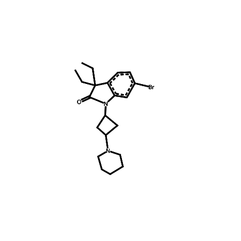 CCC1(CC)C(=O)N(C2CC(N3CCCCC3)C2)c2cc(Br)ccc21